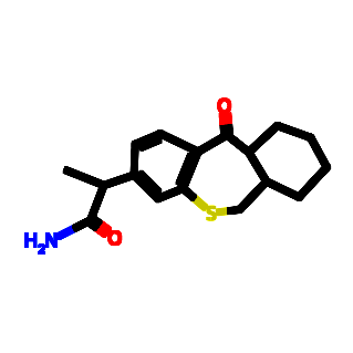 CC(C(N)=O)c1ccc2c(c1)SCC1CCCCC1C2=O